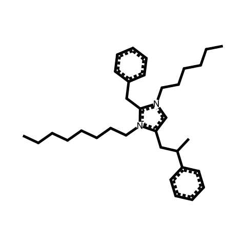 CCCCCCCC[n+]1c(CC(C)c2ccccc2)cn(CCCCCC)c1Cc1ccccc1